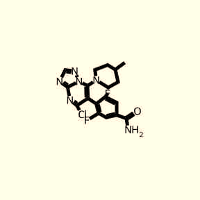 CC1CCN(c2c(-c3c(F)cc(C(N)=O)cc3F)c(Cl)nc3ncnn23)CC1